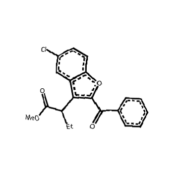 CCC(C(=O)OC)c1c(C(=O)c2ccccc2)oc2ccc(Cl)cc12